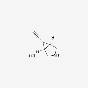 C#C[C@@H]1[C@H]2CNC[C@@H]12.Cl